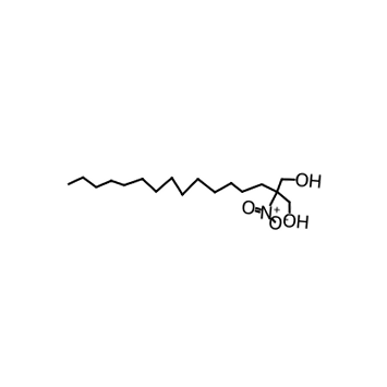 CCCCCCCCCCCCCCC(CO)(CO)[N+](=O)[O-]